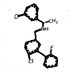 C[C@@H](NCc1ccc(Cl)c(-c2ccccc2F)c1)c1cccc(Cl)c1